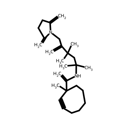 C=C1CCC(=C)N1CC(=C)C(C)(C)CC(C)(C)NC(=C)C1(C)C#CCCCCC1